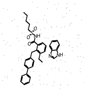 CCCCCS(=O)(=O)NC(=O)c1cccc(CC)c1Cc1ccc(-c2ccccc2)cc1.c1ccc2[nH]cnc2c1